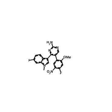 COc1cc(F)c([N+](=O)[O-])cc1-c1cnc(N)nc1-c1cn(C)c2cc(I)ccc12